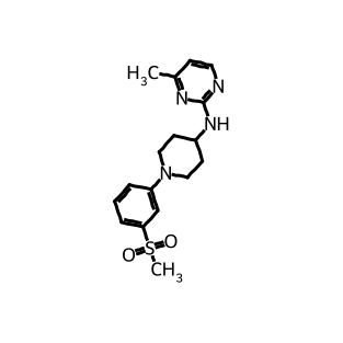 Cc1ccnc(NC2CCN(c3cccc(S(C)(=O)=O)c3)CC2)n1